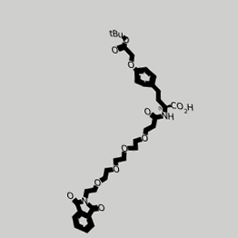 CC(C)(C)OC(=O)COc1ccc(CC[C@H](NC(=O)CCOCCOCCOCCOCCN2C(=O)c3ccccc3C2=O)C(=O)O)cc1